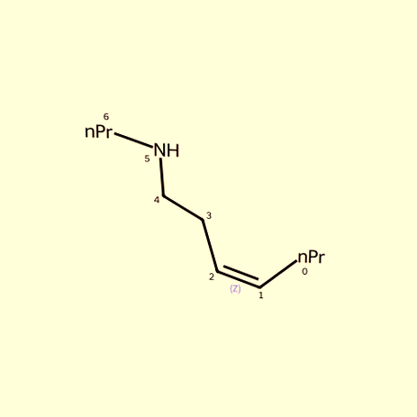 CCC/C=C\CCNCCC